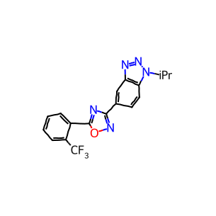 CC(C)n1nnc2cc(-c3noc(-c4ccccc4C(F)(F)F)n3)ccc21